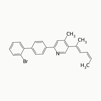 C/C=C\C=C(/C)c1cnc(-c2ccc(-c3ccccc3Br)cc2)cc1C